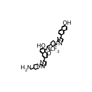 NCC1CCN(c2nccc(-c3ccc4c(N(CC5CCN(c6nccc(-c7ccc8cc(O)ccc8c7)n6)CC5)C(=O)C(F)(F)F)c(O)ccc4c3)n2)CC1